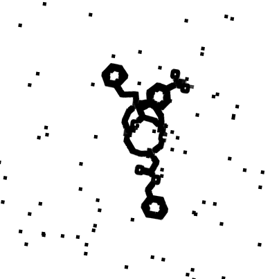 O=C(CN1CCCN2CCN(CCc3ccccc3)CCCN(CC1)CC(Cc1ccc([N+](=O)[O-])cc1)C2)OCc1ccccc1